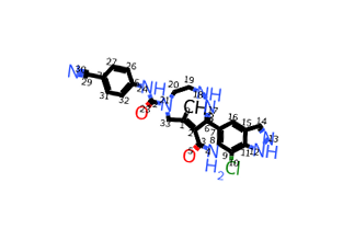 C/C1=C(C(N)=O)\C(c2cc(Cl)c3[nH]ncc3c2)=N/NCCN(C(=O)Nc2ccc(C#N)cc2)C1